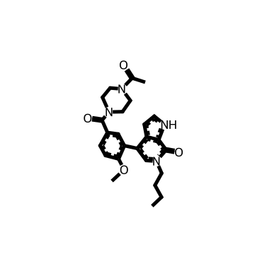 CCCCn1cc(-c2cc(C(=O)N3CCN(C(C)=O)CC3)ccc2OC)c2cc[nH]c2c1=O